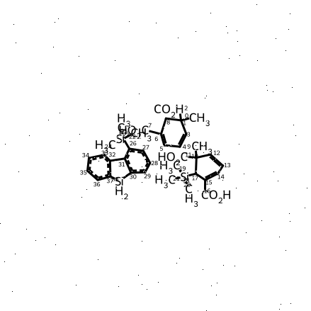 CC1(C(=O)O)C=CC=C(C(=O)O)C1.CC1(C(=O)O)C=CC=C(C(=O)O)C1[Si](C)(C)C.C[Si](C)(C)c1cccc2c1-c1ccccc1[SiH2]2